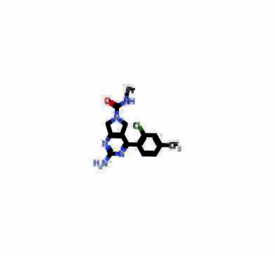 CC(C)NC(=O)N1Cc2nc(N)nc(-c3ccc(C(F)(F)F)cc3Cl)c2C1